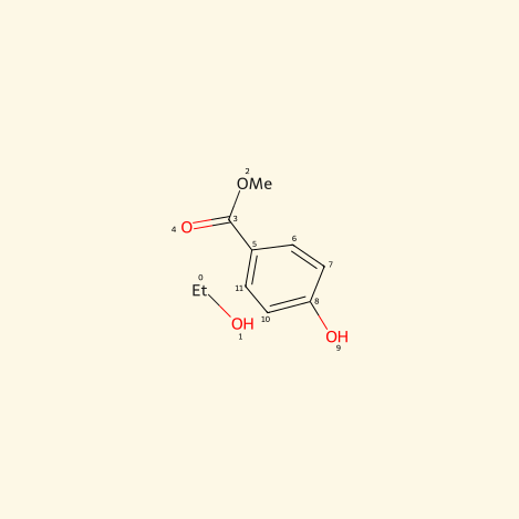 CCO.COC(=O)c1ccc(O)cc1